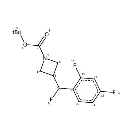 CC(C)(C)OC(=O)N1CC(C(F)c2ccc(F)cc2F)C1